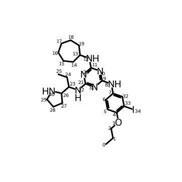 CCCOc1ccc(Nc2nc(NC3CCCCCC3)nc(NC(CC)C3CCCN3)n2)cc1I